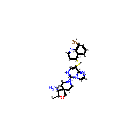 C[C@@H]1OCC2(CCN(c3ncc(Sc4ccnc5c(Br)cccc45)c4nccn34)CC2)[C@@H]1N